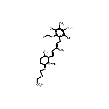 CC(/C=C/C1[C@H](C)CC/C(=N\COCC(=O)O)[C@@H]1C)=C\Cc1c(O)c(C=O)c(C)c(Cl)c1OCF